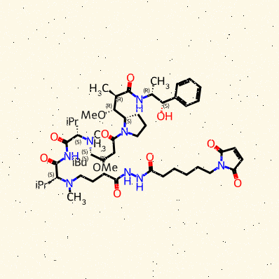 CC[C@H](C)[C@@H]([C@@H](CC(=O)N1CCC[C@H]1[C@H](OC)[C@@H](C)C(=O)N[C@H](C)[C@@H](O)c1ccccc1)OC)N(C)[C@H](C(=O)NC(=O)[C@H](C(C)C)N(C)CCCC(=O)NNC(=O)CCCCCN1C(=O)C=CC1=O)C(C)C